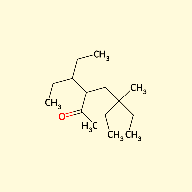 CCC(CC)C(CC(C)(CC)CC)C(C)=O